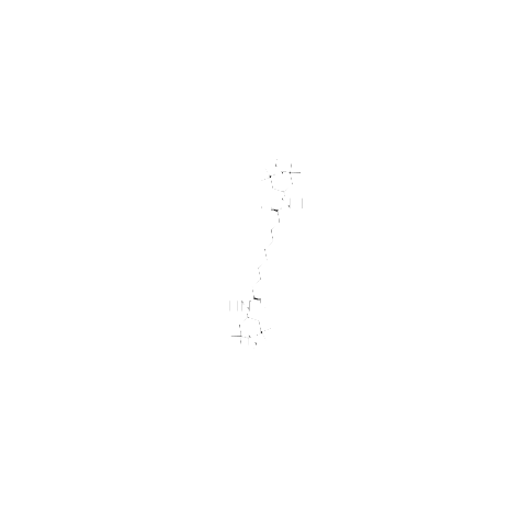 CN1C(C)(C)CC(NC(=O)CCCCCCCCC(=O)NC2CC(C)(C)N(C)C(C)(C)C2)CC1(C)C